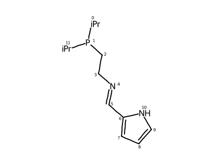 CC(C)P(CC/N=C/c1ccc[nH]1)C(C)C